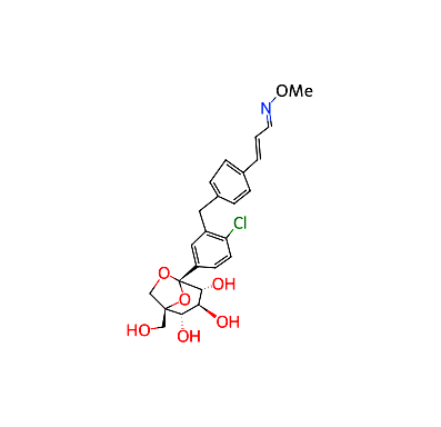 CO/N=C/C=C/c1ccc(Cc2cc([C@]34OC[C@](CO)(O3)[C@@H](O)[C@H](O)[C@H]4O)ccc2Cl)cc1